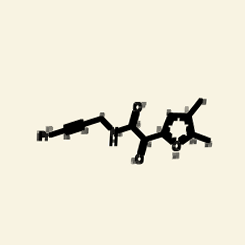 Cc1cc(C(=O)C(=O)NCC#CC(C)C)oc1C